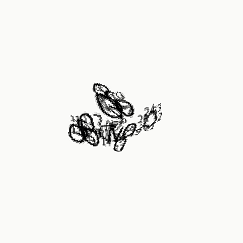 CS(=O)(=O)OC[C@@H]1C[C@@H](OS(C)(=O)=O)CN1C(=O)OCc1ccccc1